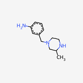 CC1CN(Cc2cccc(N)c2)CCN1